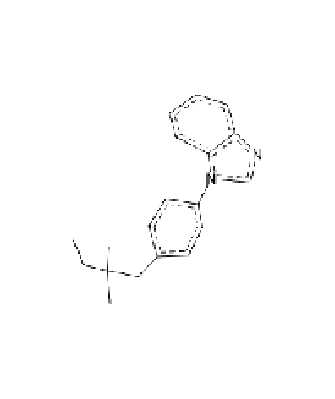 CCC(C)(C)Cc1ccc(-n2cnc3ccccc32)cc1